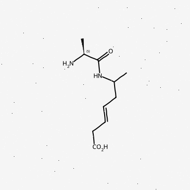 CC(CC=CCC(=O)O)NC(=O)[C@H](C)N